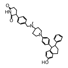 CN(Cc1ccc(C2CCC(=O)NC2=O)cc1)C1CCN(c2ccc(C3c4ccc(O)cc4CCC3c3ccccc3)cc2)CC1